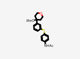 COC1(c2cccc(Sc3ccc(NC(C)=O)cc3)c2)CCOCC1